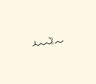 CCCC[C@H](CCCCCC(C)C)OC